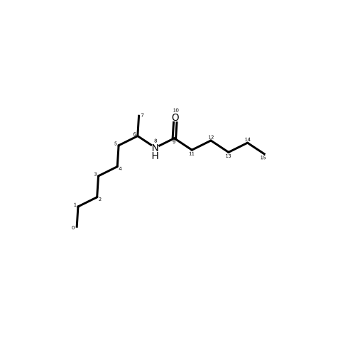 CCCCCCC(C)NC(=O)CCCCC